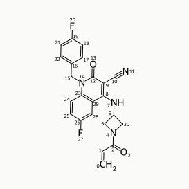 C=CC(=O)N1CC(Nc2c(C#N)c(=O)n(Cc3ccc(F)cc3)c3ccc(F)cc23)C1